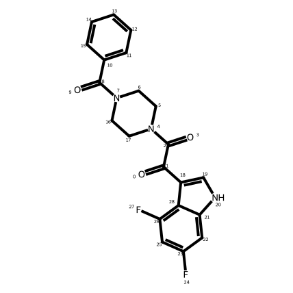 O=C(C(=O)N1CCN(C(=O)c2ccccc2)CC1)c1c[nH]c2cc(F)cc(F)c12